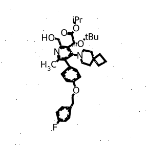 Cc1nc(CO)c([C@H](OC(C)(C)C)C(=O)OC(C)C)c(N2CCC3(CCC3)CC2)c1-c1ccc(OCCc2ccc(F)cc2)cc1